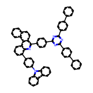 c1ccc(-c2ccc(-c3nc(-c4ccc(-c5ccccc5)cc4)nc(-c4ccc(-c5nc6c(-c7ccc(-n8c9ccccc9c9ccccc98)cc7)cccc6c6c5ccc5ccccc56)cc4)n3)cc2)cc1